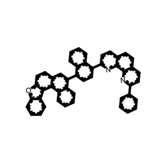 c1ccc(-c2ccc3ccc4ccc(-c5ccc(-c6cc7ccc8oc9ccccc9c8c7c7ccccc67)c6ccccc56)nc4c3n2)cc1